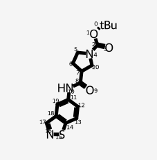 CC(C)(C)OC(=O)N1CCC(C(=O)Nc2ccc3sncc3c2)C1